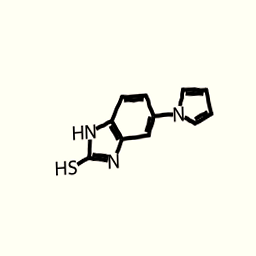 Sc1nc2cc(-n3cccc3)ccc2[nH]1